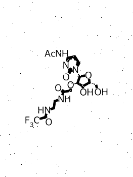 CC(=O)Nc1ccn([C@@H]2O[C@H](CO)C(O)[C@@H]2OCC(=O)NCCNC(=O)C(F)(F)F)c(=O)n1